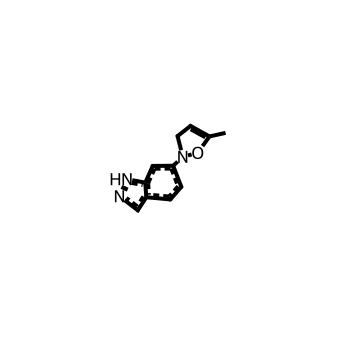 CC1=CCN(c2ccc3cn[nH]c3c2)O1